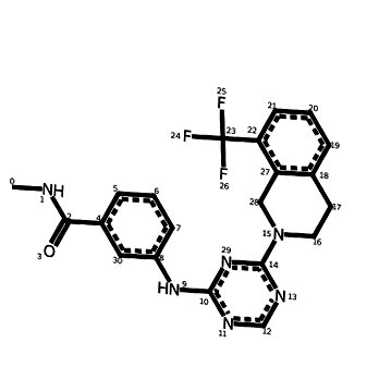 CNC(=O)c1cccc(Nc2ncnc(N3CCc4cccc(C(F)(F)F)c4C3)n2)c1